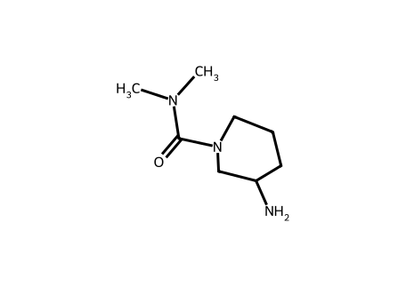 CN(C)C(=O)N1CCCC(N)C1